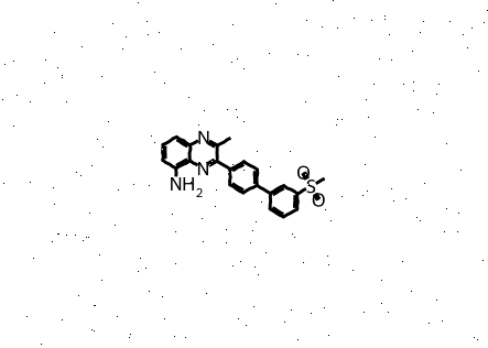 Cc1nc2cccc(N)c2nc1-c1ccc(-c2cccc(S(C)(=O)=O)c2)cc1